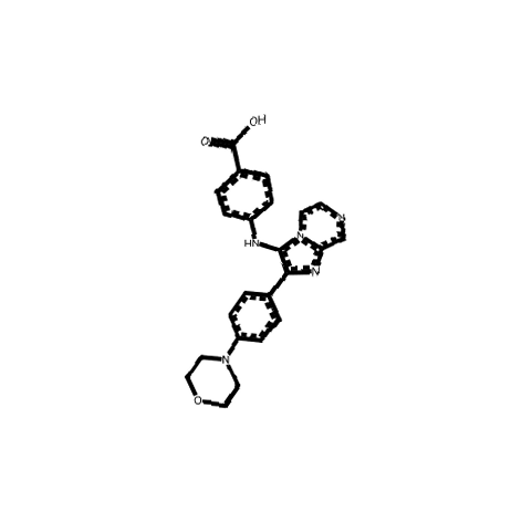 O=C(O)c1ccc(Nc2c(-c3ccc(N4CCOCC4)cc3)nc3cnccn23)cc1